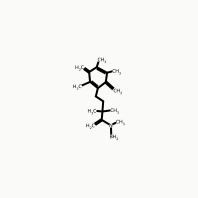 BN(C)C(=C)C(C)(C)CCc1c(C)c(=C)c(C)c(C)c1=C